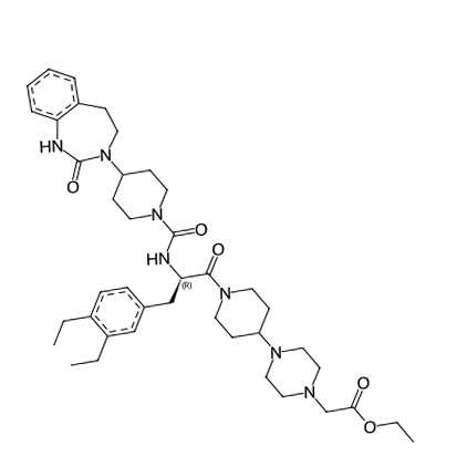 CCOC(=O)CN1CCN(C2CCN(C(=O)[C@@H](Cc3ccc(CC)c(CC)c3)NC(=O)N3CCC(N4CCc5ccccc5NC4=O)CC3)CC2)CC1